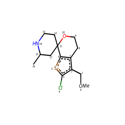 COCc1c(Cl)sc2c1CCOC21CCNC(C)C1